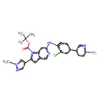 Cc1ccc(-c2ccc(Nc3cc4c(cn3)cc(-c3cnn(C)c3)n4C(=O)OC(C)(C)C)c(Cl)c2)cn1